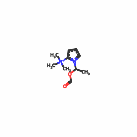 CC(OC=O)n1cccc1[N+](C)(C)C